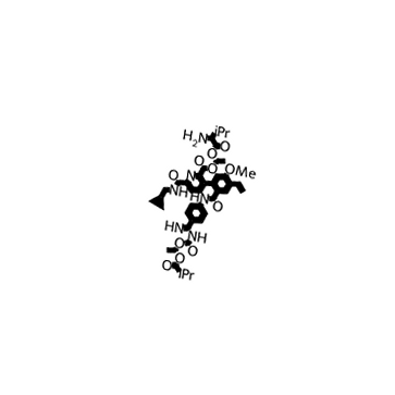 C=Cc1cc(C(=O)Nc2ccc(C(=N)NC(=O)OC(C)OC(=O)C(C)C)cc2)c(-c2ccc(C(=O)NCC3CC3)nc2C(=O)OC(C)OC(=O)C(N)C(C)C)cc1OC